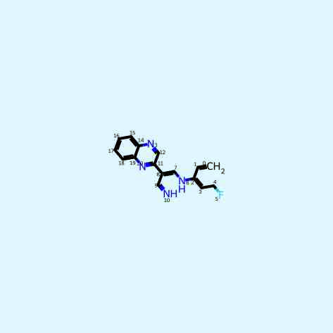 C=C/C(=C\CF)N/C=C(\C=N)c1cnc2ccccc2n1